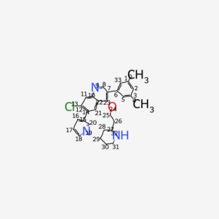 Cc1cc(C)cc(-c2cnc3cc(Cl)c(-c4cccnc4)cc3c2OCCC2CCCCN2)c1